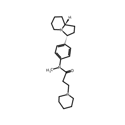 CN(C(=O)CCN1CCCCC1)c1ccc([C@H]2CC[C@H]3CCCCN32)cc1